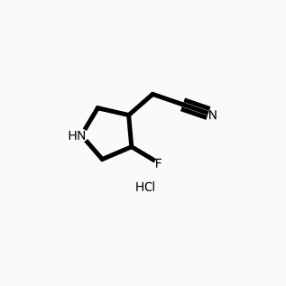 Cl.N#CCC1CNCC1F